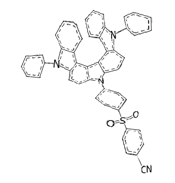 N#Cc1ccc(S(=O)(=O)c2ccc(-n3c4ccc5c(c6ccccc6n5-c5ccccc5)c4c4c5c6ccccc6n(-c6ccccc6)c5ccc43)cc2)cc1